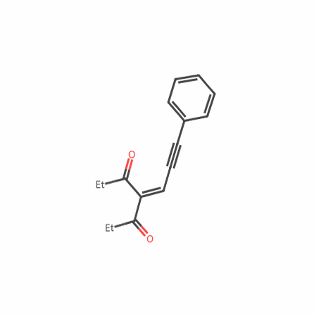 CCC(=O)C(=CC#Cc1ccccc1)C(=O)CC